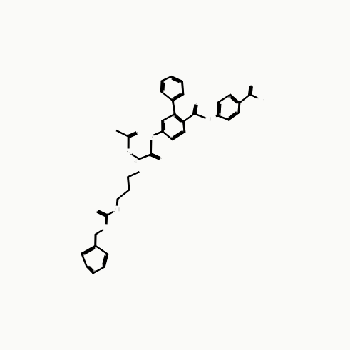 CC(=O)N[C@@H](CCCCNC(=O)OCc1ccccc1)C(=O)Nc1ccc(C(=O)Nc2ccc(C(=O)O)cc2)c(-c2ccccc2)c1